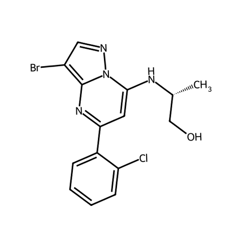 C[C@H](CO)Nc1cc(-c2ccccc2Cl)nc2c(Br)cnn12